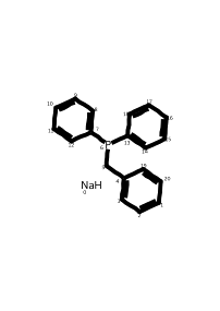 [NaH].c1ccc(CP(c2ccccc2)c2ccccc2)cc1